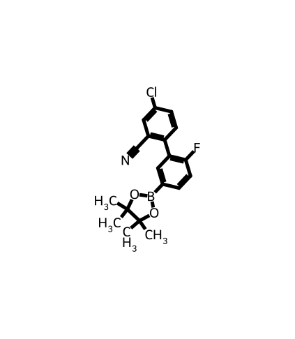 CC1(C)OB(c2ccc(F)c(-c3ccc(Cl)cc3C#N)c2)OC1(C)C